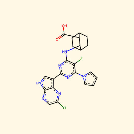 O=C(O)C1C2CCC(CC2)C1Nc1nc(-c2c[nH]c3ncc(Cl)nc23)nc(-n2cccc2)c1F